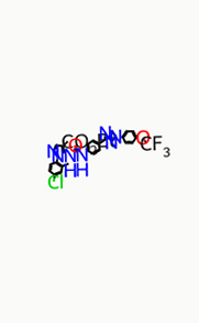 CCOC(=O)c1cnn(-c2ccc(Cl)cc2C)c1NC(=O)Nc1ccc(-c2ncn(-c3ccc(OC(F)(F)F)cc3)n2)cc1